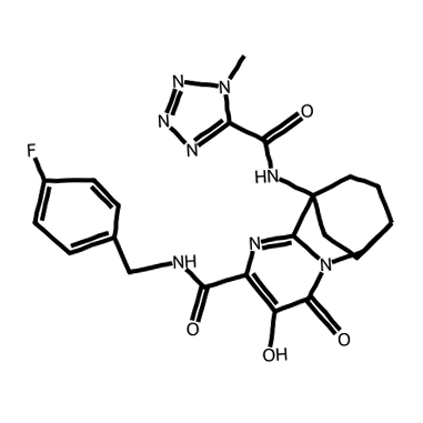 Cn1nnnc1C(=O)NC12CCC(CC1)Cn1c2nc(C(=O)NCc2ccc(F)cc2)c(O)c1=O